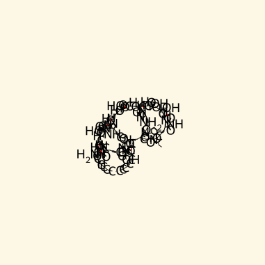 CCCCN1OCC#Cc2cn(c(=O)[nH]c2=O)[C@@H]2CC(O)[C@H](COP(=O)(O)O[C@H]3C[C@@H]4O[C@H]3COP(=O)(O)O[C@H]3C[C@@H]5O[C@H]3COP(=O)(O)O[C@H]3C[C@@H]6O[C@H]3COCCCCCCCCCCCCCCCCCC(CC(CC(CCC1=O)C(=O)N(Cc1ccccc1)OCC#Cc1cn4c(=O)nc1N)C(=O)N(CCN(C)C)OCC#Cc1cn5c3ncnc(N)c13)C(=O)N(CC(=O)O)OCC#Cc1cn6c3nc(N)[nH]c(=O)c13)O2